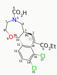 CCOC(=O)/C=C/[C@@H]1CN(C(=O)O)CCO[C@H]1c1ccc(Cl)c(Cl)c1